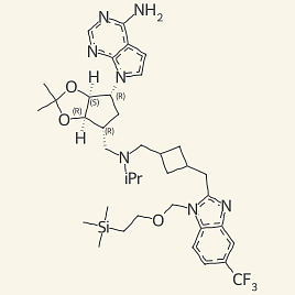 CC(C)N(CC1CC(Cc2nc3cc(C(F)(F)F)ccc3n2COCC[Si](C)(C)C)C1)C[C@H]1C[C@@H](n2ccc3c(N)ncnc32)[C@@H]2OC(C)(C)O[C@H]12